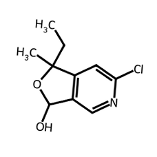 CCC1(C)OC(O)c2cnc(Cl)cc21